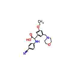 CCOc1cc(CN2CCOCC2)cc(C(Nc2ccc(C#N)cc2)C(=O)O)c1